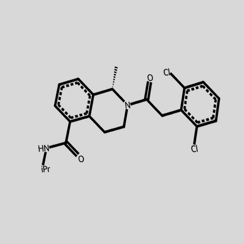 CC(C)NC(=O)c1cccc2c1CCN(C(=O)Cc1c(Cl)cccc1Cl)[C@H]2C